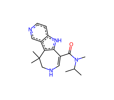 CC(C)N(C)C(=O)C1=CNCC(C)(C)c2c1[nH]c1ccncc21